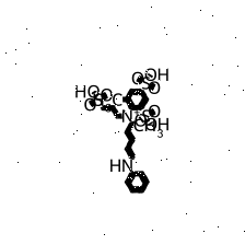 CC(/C=C/C=C/Nc1ccccc1)=[N+](/CCCS(=O)(=O)O)c1c(C)cc(S(=O)(=O)O)cc1S(=O)(=O)O